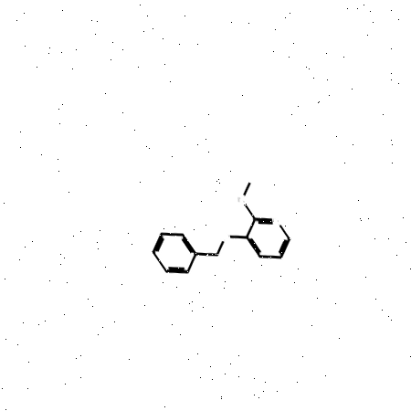 CNc1ncccc1OCc1ccccc1